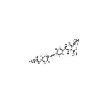 C[C@@H](O)[C@H](NC(=O)c1ccc(C#Cc2ccc(CNC(C)(C)C)cc2)cc1)C(=O)NO